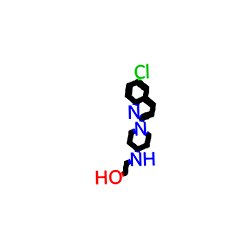 OCCNC1CCN(c2ccc3cc(Cl)ccc3n2)CC1